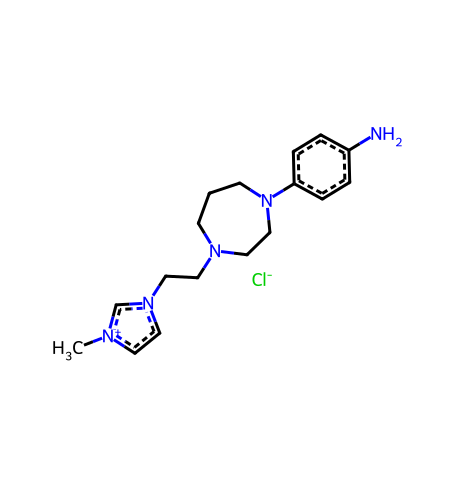 C[n+]1ccn(CCN2CCCN(c3ccc(N)cc3)CC2)c1.[Cl-]